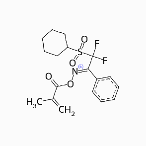 C=C(C)C(=O)O/N=C(\c1ccccc1)C(F)(F)S(=O)(=O)C1CCCCC1